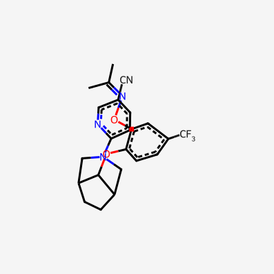 CC(C)=NOc1cc(C(F)(F)F)ccc1OC1C2CCC1CN(c1ccc(C#N)cn1)C2